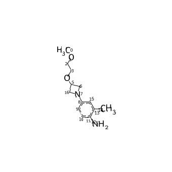 COCCOC1CN(c2ccc(N)c(C)c2)C1